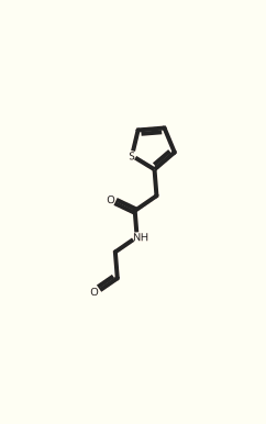 O=CCNC(=O)Cc1cccs1